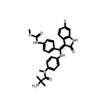 COC(=O)Nc1ccc(/C(Nc2ccc(N(C)C(=O)C(C)(C)N)cc2)=C2/C(=O)Nc3cc(F)ccc32)cc1